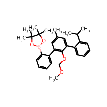 COCOc1c(-c2ccccc2B2OC(C)(C)C(C)(C)O2)cc(C)cc1-c1ccccc1C(C)C